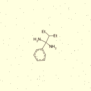 CCC(CC)C(N)(N)c1ccccc1